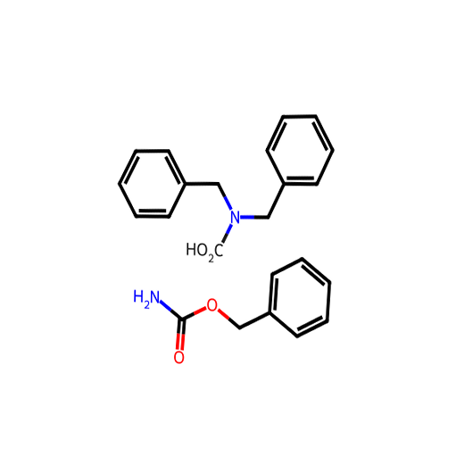 NC(=O)OCc1ccccc1.O=C(O)N(Cc1ccccc1)Cc1ccccc1